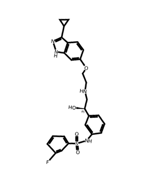 O=S(=O)(Nc1cccc([C@@H](O)CNCCOc2ccc3c(C4CC4)n[nH]c3c2)c1)c1cccc(F)c1